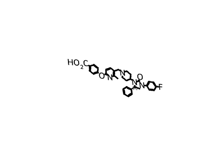 Cc1nc(Oc2ccc(C(=O)O)cc2)ccc1CN1CCC(N2C(=O)N(c3ccc(F)cc3)C[C@H]2c2ccccc2)CC1